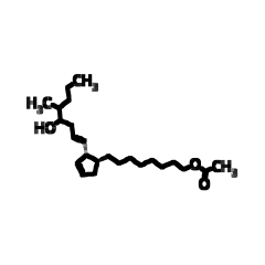 CCCC(C)C(O)C/C=C/[C@H]1C=CC[C@@H]1CCCCCCCCOC(C)=O